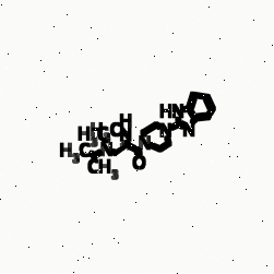 CN[C@H](CN(C)C(C)C)C(=O)N1CCN(c2nc3ccccc3[nH]2)CC1